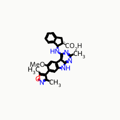 COc1cc2c(cc1-c1c(C)noc1C)[nH]c1nc(C)nc(NC3c4ccccc4C[C@@H]3C(=O)O)c12